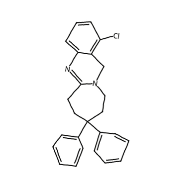 Clc1cccc2c1CN1CCC(c3ccccc3)(c3ccccc3)CCC1=N2